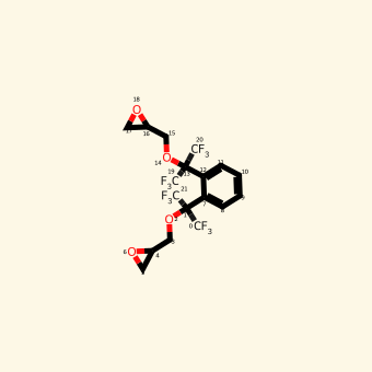 FC(F)(F)C(OCC1CO1)(c1ccccc1C(OCC1CO1)(C(F)(F)F)C(F)(F)F)C(F)(F)F